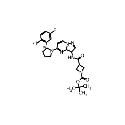 CC(C)(C)OC(=O)N1CC(C(=O)NC2C=NN3C=CC(N4CCC[C@@H]4c4cc(F)ccc4Cl)=NC23)C1